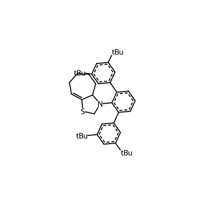 CC(C)(C)c1cc(-c2cccc(-c3cc(C(C)(C)C)cc(C(C)(C)C)c3)c2N2CSC3=CCCCCC32)cc(C(C)(C)C)c1